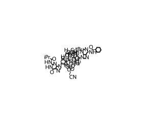 CC(C)C(=O)Nc1nc2c(ncn2[C@@H]2C[C@@H]3COP(=O)(O)O[C@@H]4[C@@H](COP(=O)(OCCC#N)O[C@@H]2[C@@H]3O[Si](C)(C)C(C)(C)C)C[C@@H](n2cnc3c(NC(=O)c5ccccc5)ncnc32)[C@@H]4O[Si](C)(C)C(C)(C)C)c(=O)[nH]1